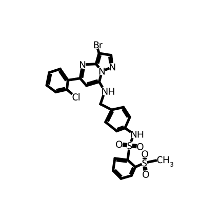 CS(=O)(=O)c1ccccc1S(=O)(=O)Nc1ccc(CNc2cc(-c3ccccc3Cl)nc3c(Br)cnn23)cc1